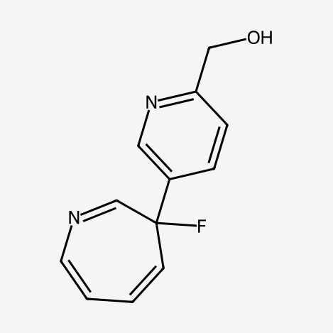 OCc1ccc(C2(F)C=CC=CN=C2)cn1